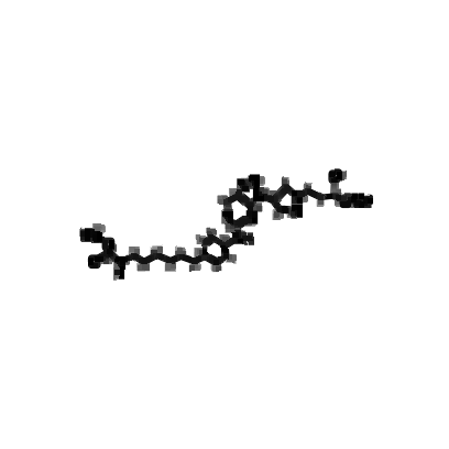 COC(=O)CCn1cc(-n2nnc3cnc(Nc4ccc(CCCCCCNC(=O)OC(C)(C)C)cc4)nc32)cn1